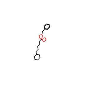 O=C(CCCCCC1CCCCC1)OCCc1ccccc1